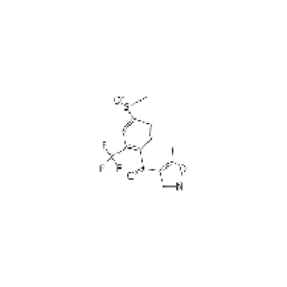 Cc1oncc1C(=O)c1ccc([S+](C)[O-])cc1C(F)(F)F